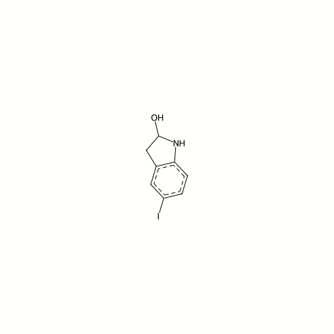 OC1Cc2cc(I)ccc2N1